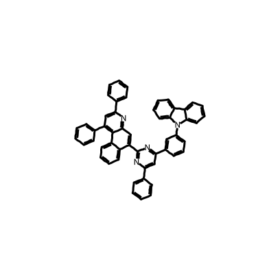 c1ccc(-c2cc(-c3cccc(-n4c5ccccc5c5ccccc54)c3)nc(-c3cc4nc(-c5ccccc5)cc(-c5ccccc5)c4c4ccccc34)n2)cc1